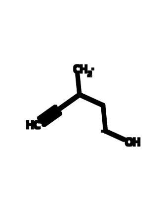 C#CC([CH2])C[CH]O